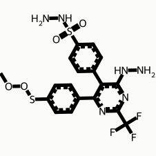 COOSc1ccc(-c2nc(C(F)(F)F)nc(NN)c2-c2ccc(S(=O)(=O)NN)cc2)cc1